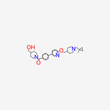 CC1(CN2CCC(COc3ccc(-c4ccc(C(=O)N5CCC(CO)CC5)cc4)cn3)CC2)CC1